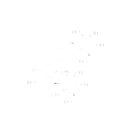 O=c1cc(-c2ccc(O[C@@H]3O[C@H](CO)[C@@H](O)[C@H](O)[C@H]3O)cc2)oc2c([C@@H]3O[C@H](CO)[C@@H](O)[C@H](O)[C@H]3O)c(O)cc(O)c12